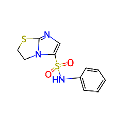 O=S(=O)(Nc1ccccc1)c1cnc2n1CCS2